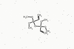 C=C[Si](OC)(OC)O[Si](C=C)(OC)OC